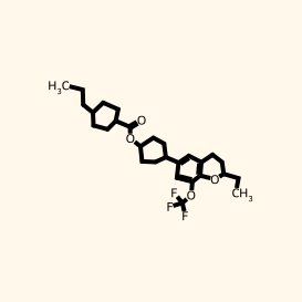 CCCC1CCC(C(=O)OC2CCC(c3cc4c(c(OC(F)(F)F)c3)OC(CC)CC4)CC2)CC1